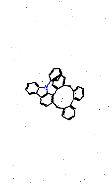 c1ccc(-n2c3ccccc3c3ccc4c(c32)-c2ccccc2Cc2ccccc2-c2ccccc2C4)cc1